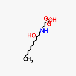 CCCCCCCCCC(O)CCNCCCS(=O)(=O)O